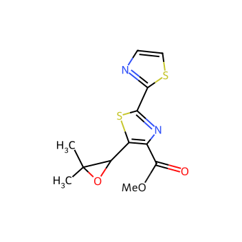 COC(=O)c1nc(-c2nccs2)sc1C1OC1(C)C